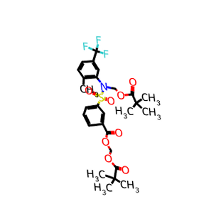 Cc1ccc(C(F)(F)F)cc1N(COC(=O)C(C)(C)C)S(=O)(=O)c1cccc(C(=O)OCOC(=O)C(C)(C)C)c1